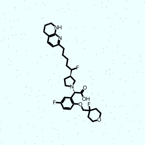 O=C(O)[C@H](c1cc(F)ccc1OCC1(F)CCOCC1)N1CC[C@@H](C(F)CCCCc2ccc3c(n2)NCCC3)C1